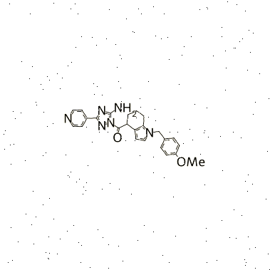 COc1ccc(Cn2ccc3c2CCCC3C(=O)n2nc(-c3ccncc3)nc2N)cc1